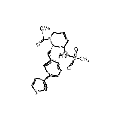 COC(=O)N1CCC[C@@H](NS(C)(=O)=O)[C@H]1Cc1cccc(-c2ccsc2)c1